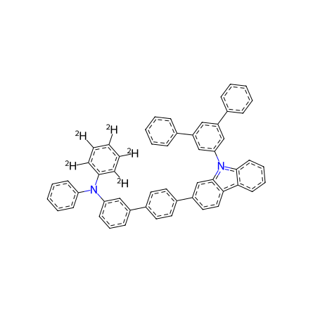 [2H]c1c([2H])c([2H])c(N(c2ccccc2)c2cccc(-c3ccc(-c4ccc5c6ccccc6n(-c6cc(-c7ccccc7)cc(-c7ccccc7)c6)c5c4)cc3)c2)c([2H])c1[2H]